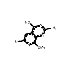 COc1nc(Br)cc2c(O)nc(C)nc12